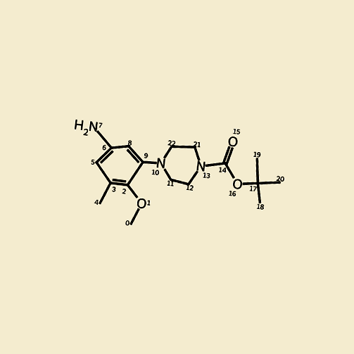 COc1c(C)cc(N)cc1N1CCN(C(=O)OC(C)(C)C)CC1